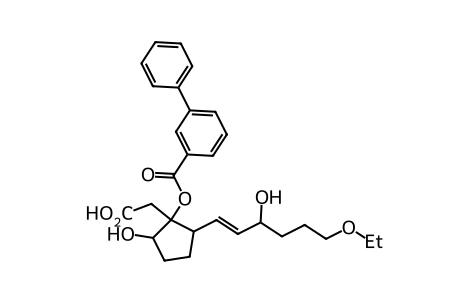 CCOCCCC(O)C=CC1CCC(O)C1(CC(=O)O)OC(=O)c1cccc(-c2ccccc2)c1